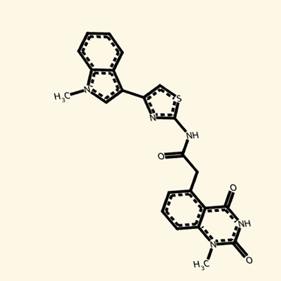 Cn1cc(-c2csc(NC(=O)Cc3cccc4c3c(=O)[nH]c(=O)n4C)n2)c2ccccc21